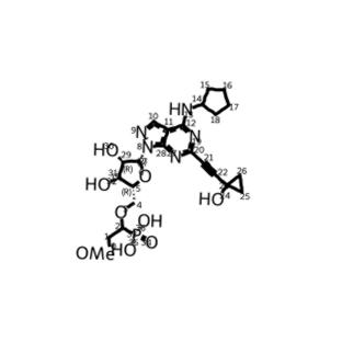 COCC(OC[C@H]1O[C@@H](n2ncc3c(NC4CCCC4)nc(C#CC4(O)CC4)nc32)[C@H](O)[C@@H]1O)P(=O)(O)O